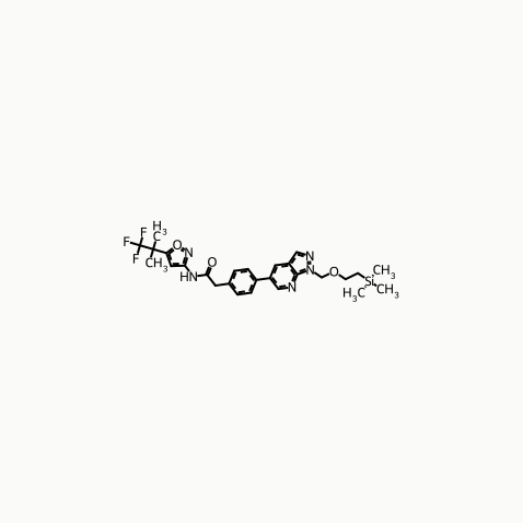 CC(C)(c1cc(NC(=O)Cc2ccc(-c3cnc4c(cnn4COCC[Si](C)(C)C)c3)cc2)no1)C(F)(F)F